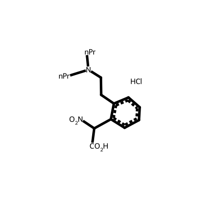 CCCN(CCC)CCc1ccccc1C(C(=O)O)[N+](=O)[O-].Cl